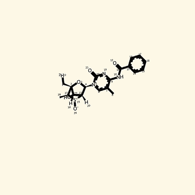 [2H]C[C@@]12O[C@@H](n3cc(C)c(NC(=O)c4ccccc4)nc3=O)[C@@H]([C@@H]1O)[S+]([O-])[C@H]2C